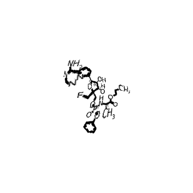 CCCOC(=O)[C@H](C)N[P@@](=O)(OC[C@@]1(CF)O[C@@H](c2ccc3c(N)ncnn23)[C@H](O)[C@@H]1O)Oc1ccccc1